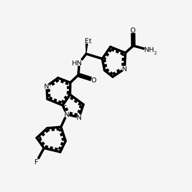 CC[C@H](NC(=O)c1cncc2c1cnn2-c1ccc(F)cc1)c1ccnc(C(N)=O)c1